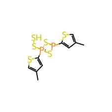 Cc1csc(P2S[P](SS)(c3cc(C)cs3)S2)c1